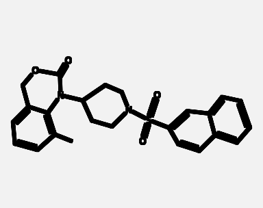 Cc1cccc2c1N(C1CCN(S(=O)(=O)c3ccc4ccccc4c3)CC1)C(=O)OC2